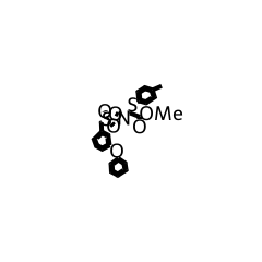 COC(=O)/C(=N/OS(=O)(=O)Cc1cccc(Oc2ccccc2)c1)Sc1ccc(C)cc1